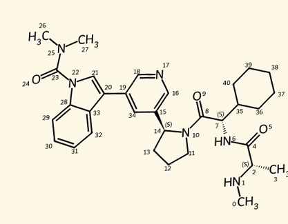 CN[C@@H](C)C(=O)N[C@H](C(=O)N1CCC[C@H]1c1cncc(-c2cn(C(=O)N(C)C)c3ccccc23)c1)C1CCCCC1